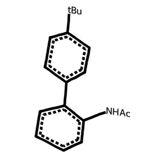 CC(=O)Nc1ccccc1-c1ccc(C(C)(C)C)cc1